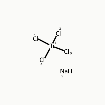 [Cl][Ti]([Cl])([Cl])[Cl].[NaH]